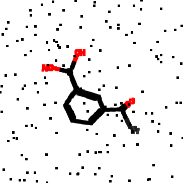 CC(C)C(=O)c1cccc(B(O)O)c1